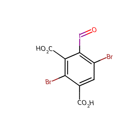 O=Ic1c(Br)cc(C(=O)O)c(Br)c1C(=O)O